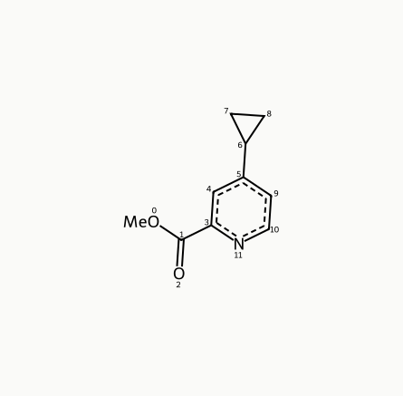 COC(=O)c1cc(C2CC2)ccn1